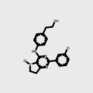 [O-][S+]1CCc2nc(-c3cccc(Cl)c3)nc(Nc3ccc(CCO)cc3)c21